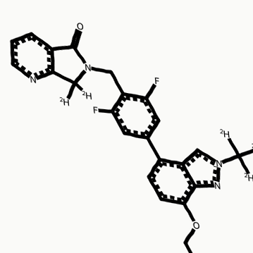 [2H]C1([2H])c2ncccc2C(=O)N1Cc1c(F)cc(-c2ccc(OCC)c3nn(C([2H])([2H])[2H])cc23)cc1F